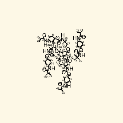 C=C(C)C(=O)Nc1ccc(OC(=O)NC(C)(C)CCOC(C)(C)CC(CC(C)(C)OCCC(C)(C)NC(=O)Oc2ccc(NC(=O)C(=C)C)cc2)(CC(C)(C)OCCC(C)(C)NC(=O)Oc2ccc(NC(=O)C(=C)C)cc2)CC(C)(C)OCCC(C)(C)NC(=O)Oc2ccc(NC(=O)C(=C)C)cc2)cc1